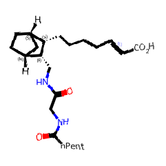 CCCCCC(=O)NCC(=O)NC[C@@H]1[C@@H]2CC[C@@H](C2)[C@@H]1CCCC/C=C/C(=O)O